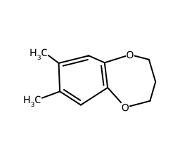 Cc1cc2c(cc1C)OCCCO2